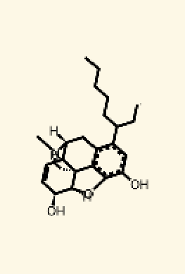 [CH2]CC(CCCCC)c1cc(O)c2c3c1C[C@@H]1[C@@H]4C=C[C@H](O)[C@H](O2)[C@]34CCN1C